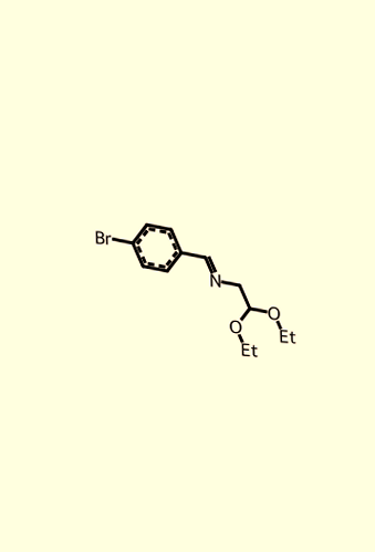 CCOC(CN=Cc1ccc(Br)cc1)OCC